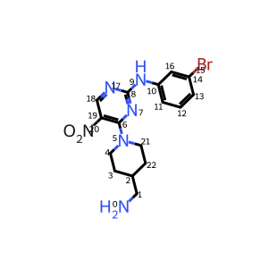 NCC1CCN(c2nc(Nc3cccc(Br)c3)ncc2[N+](=O)[O-])CC1